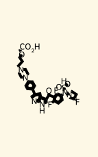 O=C(O)COCCCN1CCN(c2ccc(-c3cnc4[nH]cc(C(=O)c5c(F)ccc(N(N6CC[C@@H](F)C6)[SH](=O)=O)c5F)c4c3)cc2)CC1